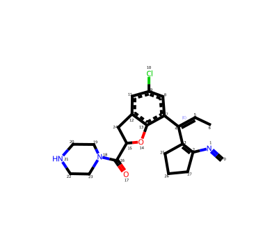 C=NC1=C(/C(=C\C)c2cc(Cl)cc3c2OC(C(=O)N2CCNCC2)C3)CCC1